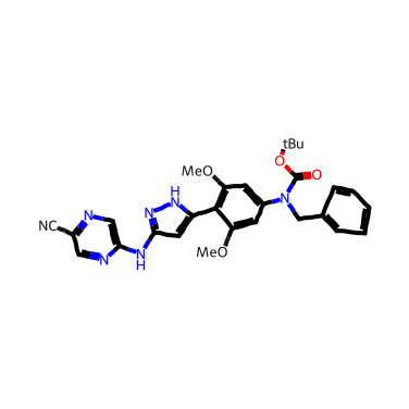 COc1cc(N(Cc2ccccc2)C(=O)OC(C)(C)C)cc(OC)c1-c1cc(Nc2cnc(C#N)cn2)n[nH]1